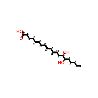 CCCCCC(O)C(O)CC=CCC=CCC=CCCCC(=O)O